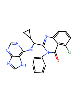 O=c1c2c(Cl)cccc2nc([C@@H](Nc2ncnc3nc[nH]c23)C2CC2)n1-c1ccccc1